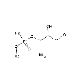 CCOP(=O)(O)OCC(O)CO.N